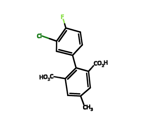 Cc1cc(C(=O)O)c(-c2ccc(F)c(Cl)c2)c(C(=O)O)c1